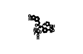 CN(C(=O)Cc1ccc2c(c1)NC(=O)C2)[C@H](CN1CCC(O)C1)c1cccc(-c2ncon2)c1.O=C(O)C(F)(F)F